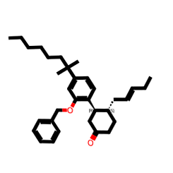 CCC=CC[C@@H]1CCC(=O)C[C@H]1c1ccc(C(C)(C)CCCCCC)cc1OCc1ccccc1